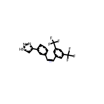 FC(F)(F)c1cc(/C=C\c2cccc(-c3c[nH]nn3)c2)cc(C(F)(F)F)c1